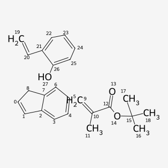 C1=Cc2ccccc2C1.C=C(C)C(=O)OC(C)(C)C.C=Cc1ccccc1O